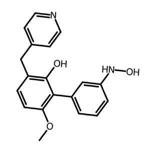 COc1ccc(Cc2ccncc2)c(O)c1-c1cccc(NO)c1